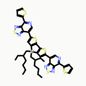 CCCCC(CC)C[Si]1(CC(CC)CCCC)c2cc(-c3cnc(-c4cccs4)c4nsnc34)sc2-c2sc(-c3cnc(-c4cccs4)c4nsnc34)cc21